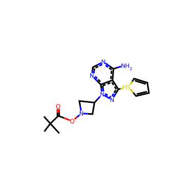 CC(C)(C)C(=O)ON1CC(n2nc([SH]3C=CC=C3)c3c(N)ncnc32)C1